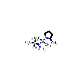 CC1CCCN1[Si](C)(C)N(C)[Si](C)(C)C